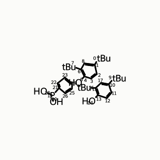 CC(C)(C)c1ccc(O)c(C(C)(C)C)c1.CC(C)(C)c1ccc(O)c(C(C)(C)C)c1.OP(O)c1ccccc1